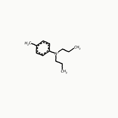 CCC[N+](CCC)c1ccc(C)cc1